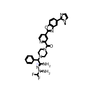 Cn1ccnc1-c1ccc2oc(-c3ccnc(C(=O)N4CCN(C(/C(N)=N/N(N)C(F)F)c5ccccc5)CC4)c3)nc2c1